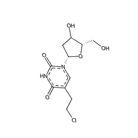 O=c1[nH]c(=O)n([C@@H]2CC(O)[C@H](CO)O2)cc1CCCl